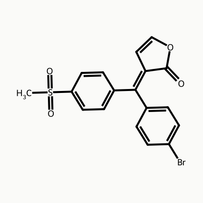 CS(=O)(=O)c1ccc(C(=C2C=COC2=O)c2ccc(Br)cc2)cc1